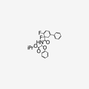 CC(C)OC(=O)C(NC(=O)C1(F)CC(c2ccccc2)=CC=C1F)Oc1ccccc1